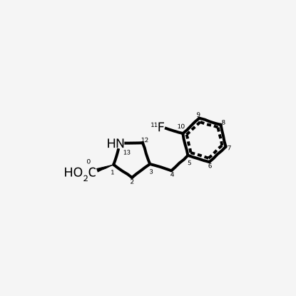 O=C(O)[C@@H]1CC(Cc2ccccc2F)CN1